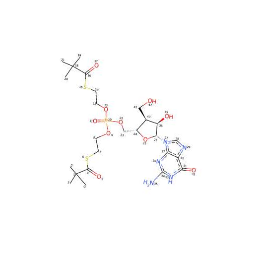 CC(C)(C)C(=O)SCCOP(=O)(OCCSC(=O)C(C)(C)C)OC[C@H]1O[C@@H](n2cnc3c(=O)[nH]c(N)nc32)[C@H](O)[C@@H]1CO